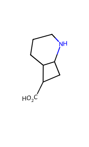 O=C(O)C1CC2NCCCC21